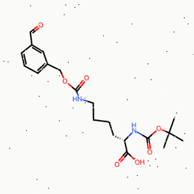 CC(C)(C)OC(=O)N[C@@H](CCCCNC(=O)OCc1cccc(C=O)c1)C(=O)O